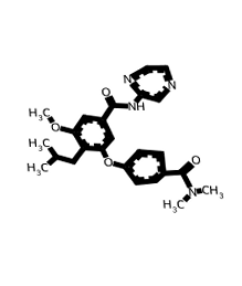 COc1cc(C(=O)Nc2cnccn2)cc(Oc2ccc(C(=O)N(C)C)cc2)c1CC(C)C